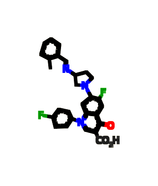 Cc1ccccc1C=NC1CCN(c2cc3c(cc2F)c(=O)c(C(=O)O)cn3-c2ccc(F)cc2)C1